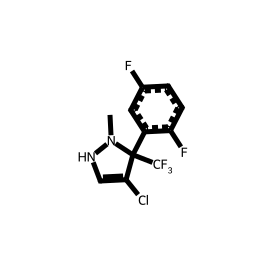 CN1NC=C(Cl)C1(c1cc(F)ccc1F)C(F)(F)F